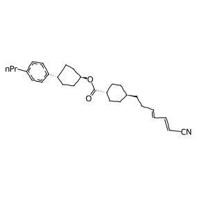 CCCc1ccc([C@H]2CC[C@H](OC(=O)[C@H]3CC[C@H](CCC=CC=CC#N)CC3)CC2)cc1